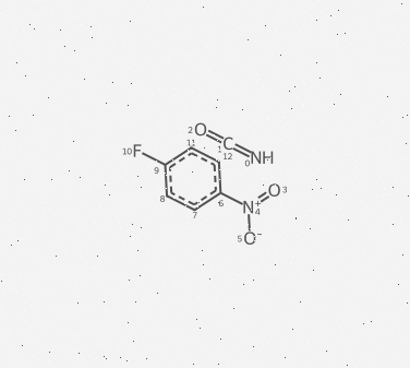 N=C=O.O=[N+]([O-])c1ccc(F)cc1